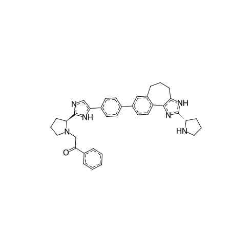 O=C(CN1CCC[C@H]1c1ncc(-c2ccc(-c3ccc4c(c3)CCCc3[nH]c([C@@H]5CCCN5)nc3-4)cc2)[nH]1)c1ccccc1